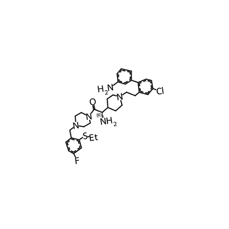 CCSc1cc(F)ccc1CN1CCN(C(=O)[C@H](N)C2CCN(CCc3cc(Cl)ccc3-c3cccc(N)c3)CC2)CC1